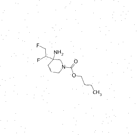 CCCCOC(=O)N1CCCC(N)(C(F)CF)C1